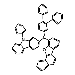 c1ccc(-c2ccc(N(c3ccc4c5ccccc5n(-c5ccccc5)c4c3)c3cccc4c3oc3c5ccccc5ccc43)cc2-c2ccccc2)cc1